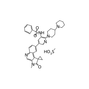 CN1C(=O)C2(CC2)c2c1cnc1ccc(-c3cnc(N4CCC(N5CCCCC5)CC4)c(NS(=O)(=O)c4ccccc4)c3)cc21.CS(=O)(=O)O